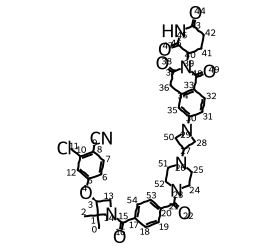 CC1(C)[C@@H](Oc2ccc(C#N)c(Cl)c2)CN1C(=O)c1ccc(C(=O)N2CCN(C3CN(c4ccc5c(c4)CC(=O)N(C4CCC(=O)NC4=O)C5=O)C3)CC2)cc1